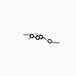 CCCCCCC[C@H]1CC[C@H](CCc2ccc3c(F)c(-c4ccc(OC)c(F)c4)ccc3c2)CC1